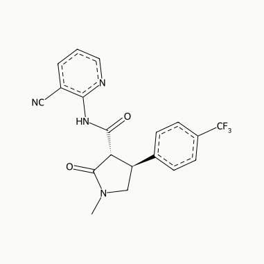 CN1C[C@H](c2ccc(C(F)(F)F)cc2)[C@@H](C(=O)Nc2ncccc2C#N)C1=O